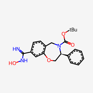 CC(C)(C)OC(=O)N1Cc2ccc(C(=N)NO)cc2OC[C@@H]1c1ccccc1